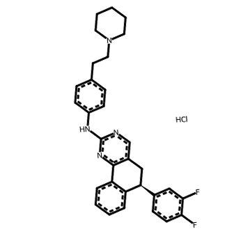 Cl.Fc1ccc([C@@H]2Cc3cnc(Nc4ccc(CCN5CCCCC5)cc4)nc3-c3ccccc32)cc1F